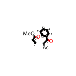 C=CC(=O)OC.CC(=O)CC(=O)c1ccccc1